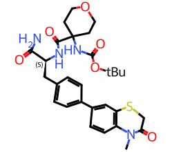 CN1C(=O)CSc2cc(-c3ccc(C[C@H](NC(=O)C4(NC(=O)OC(C)(C)C)CCOCC4)C(N)=O)cc3)ccc21